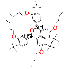 CCCCOc1cc([SiH](O[SiH](c2ccc(C(C)(C)C)c(OCCCC)c2)c2ccc(C(C)(C)C)c(OCCCC)c2)c2ccc(C(C)(C)C)c(OCCCC)c2)ccc1C(C)(C)C